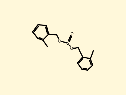 Cc1ccccc1COS(=O)OCc1ccccc1C